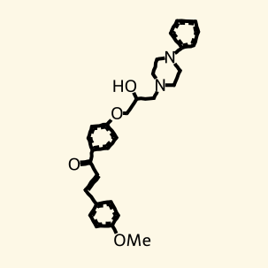 COc1ccc(/C=C/C(=O)c2ccc(OCC(O)CN3CCN(c4ccccc4)CC3)cc2)cc1